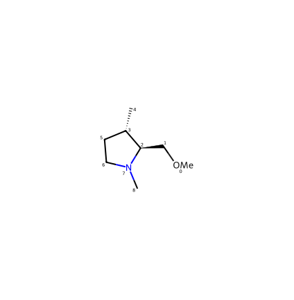 COC[C@@H]1[C@@H](C)CCN1C